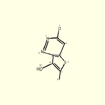 Cc1sc2cc(Cl)nnc2c1O